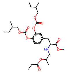 CCC(=O)OC(C)CN[C@@H](Cc1ccc(OC(=O)OCC(C)CC)c(OC(=O)OCC(C)CC)c1)C(=O)OC